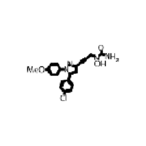 COc1ccc(-n2nc(C#CCN(O)C(N)=O)cc2-c2ccc(Cl)cc2)cc1